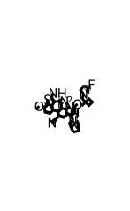 COc1ccc(-c2c(C#N)cc3c(N4CC5CCC(C4)N5)nc(OCC4(CN5CC[C@@H](F)C5)CCC4)nc3c2F)c2c(C#N)c(N)sc12